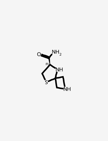 NC(=O)[C@@H]1CSC2(CNC2)N1